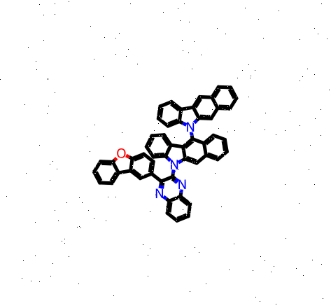 c1ccc2cc3c(cc2c1)c1ccccc1n3-c1c2ccccc2cc2c1c1ccccc1n2-c1nc2ccccc2nc1-c1ccc2oc3ccccc3c2c1